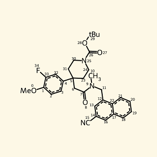 COc1ccc(C2(CC(=O)N(C)Cc3cc(C#N)cc4ccccc34)CCN(C(=O)OC(C)(C)C)CC2)cc1F